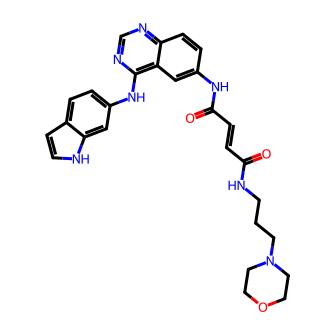 O=C(C=CC(=O)Nc1ccc2ncnc(Nc3ccc4cc[nH]c4c3)c2c1)NCCCN1CCOCC1